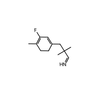 CC1=C(F)C=C(CC(C)(C)C=N)CC1